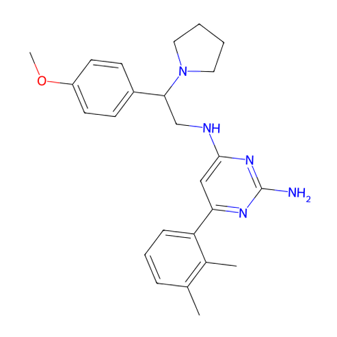 COc1ccc(C(CNc2cc(-c3cccc(C)c3C)nc(N)n2)N2CCCC2)cc1